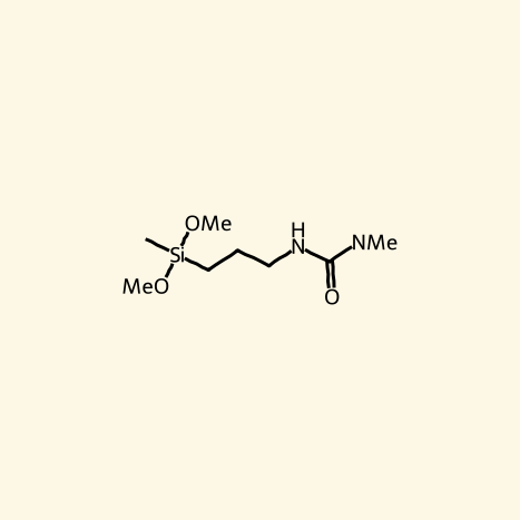 CNC(=O)NCCC[Si](C)(OC)OC